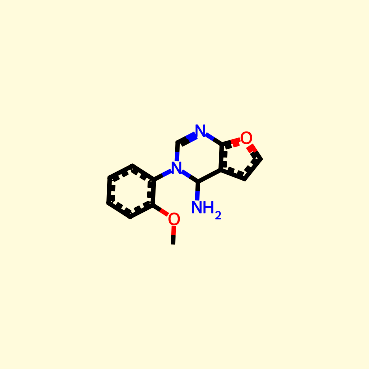 COc1ccccc1N1C=Nc2occc2C1N